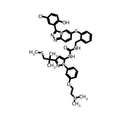 CSCC(C)(C)c1cc(NC(=O)NCc2ccccc2Sc2ccc3nnc(-c4cc(Cl)ccc4O)n3c2)n(-c2cccc(OCCN(C)C)c2)n1